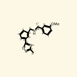 COc1cccc([C@@H](C)NCc2cccc(-c3nc(C)no3)c2)c1